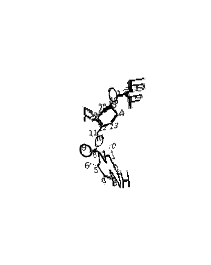 C[C@@H]1CNC[C@H](C)N1C(=O)OCc1ccc(OC(F)F)cc1F